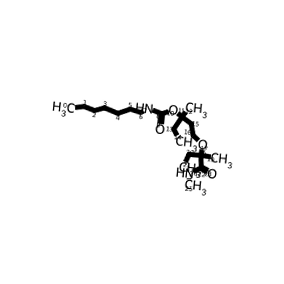 CCCCCCCNC(=O)OC(C)(CC)CCOC(C)(CC)C(=O)NC